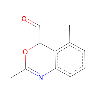 CC1=Nc2cccc(C)c2C(C=O)O1